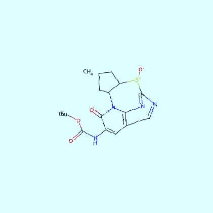 C.CC(C)(C)OC(=O)Nc1cc2cnc3nc2n(c1=O)C1CCCC1[S+]3[O-]